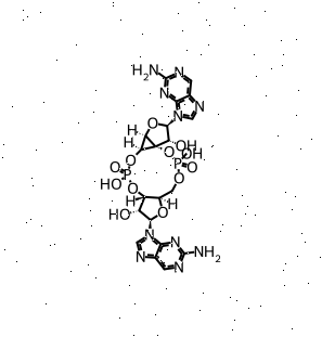 Nc1ncc2ncn([C@@H]3O[C@@H]4COP(=O)(O)O[C@]56[C@H](O[C@@H](n7cnc8cnc(N)nc87)[C@@H]5O)[C@@H]6OP(=O)(O)O[C@H]4[C@H]3O)c2n1